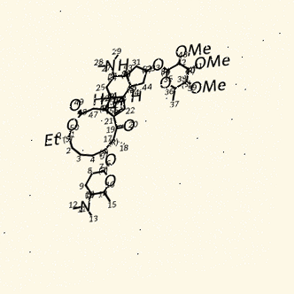 CC[C@H]1CCC[C@H](O[C@H]2CC[C@H](N(C)C)C(C)O2)[C@@H](C)C(=O)C2=C[C@@H]3[C@@H](C[C@@H](N(C)C)[C@@H]4C[C@@H](O[C@@H]5OC(C)[C@H](OC)[C@@H](OC)C5OC)C[C@@H]34)[C@@H]2CC(=O)O1